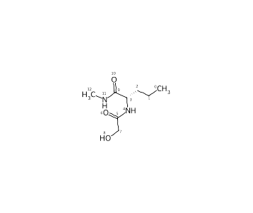 CCC[C@H](NC(=O)CO)C(=O)NC